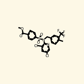 COC(=O)c1ccc(S(=O)(=O)N(Cc2ccc(C)c(C(F)(F)F)c2)c2ncc(Cl)cc2Cl)cc1